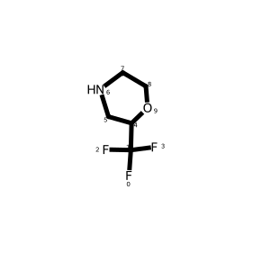 FC(F)(F)C1CN[CH]CO1